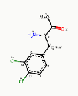 COC(=O)[C@@H](N)[C@H](C)c1ccc(Cl)c(Cl)c1